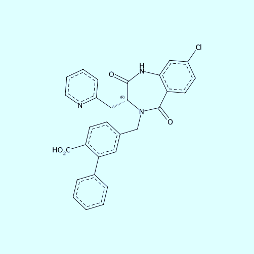 O=C(O)c1ccc(CN2C(=O)c3ccc(Cl)cc3NC(=O)[C@H]2Cc2ccccn2)cc1-c1ccccc1